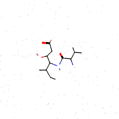 CCC(C)C(C(CC(=O)O)OC)N(C)C(=O)C(N)C(C)C